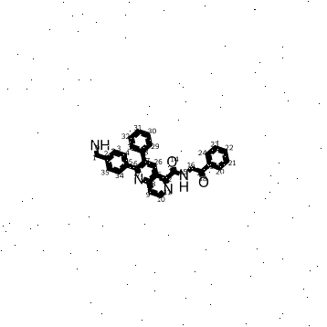 NCc1ccc(-c2nc3ccnc(C(=O)NCC(=O)c4ccccc4)c3cc2-c2ccccc2)cc1